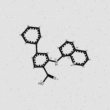 O=C(O)c1ccc(-c2ccccc2)cc1Nc1cccc2cccnc12